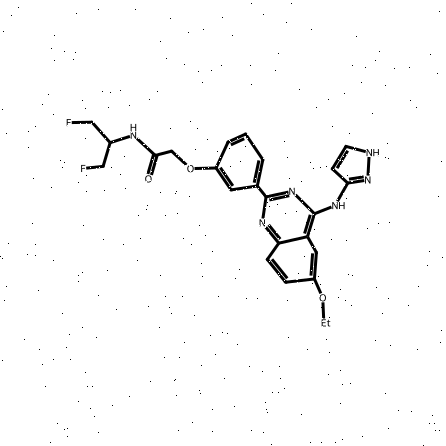 CCOc1ccc2nc(-c3cccc(OCC(=O)NC(CF)CF)c3)nc(Nc3cc[nH]n3)c2c1